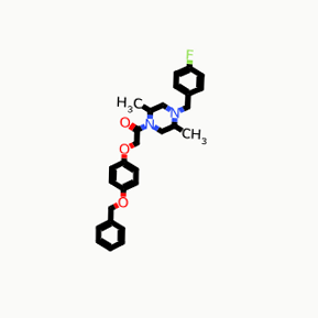 CC1CN(C(=O)COc2ccc(OCc3ccccc3)cc2)C(C)CN1Cc1ccc(F)cc1